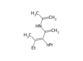 C=C(C)NC(=C)/C(CCC)=C(\C)CC